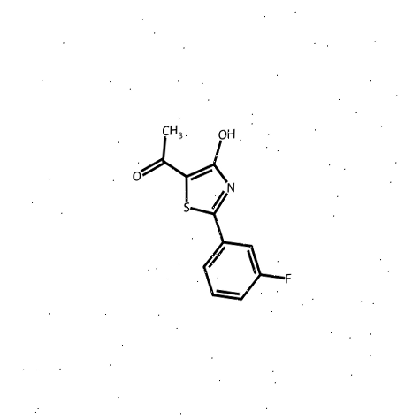 CC(=O)c1sc(-c2cccc(F)c2)nc1O